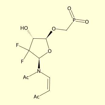 CC(=O)/C=C\N(C(C)=O)[C@@H]1O[C@H](OCP(=O)=O)[C@@H](O)C1(F)F